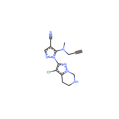 C#CCN(C)c1c(C#N)cnn1-c1nn2c(c1Cl)CCNC2